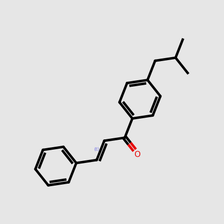 CC(C)Cc1ccc(C(=O)/C=C/c2ccccc2)cc1